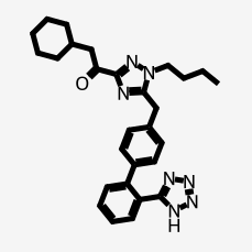 CCCCn1nc(C(=O)CC2CCCCC2)nc1Cc1ccc(-c2ccccc2-c2nnn[nH]2)cc1